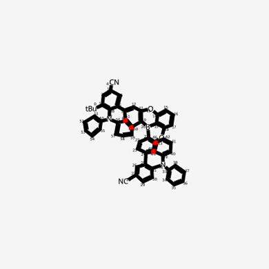 CC(C)(C)c1cc(C#N)cc(-c2ccc3c(c2)Oc2cccc4c2B3c2ccc(-c3cc(C#N)ccc3N(c3ccccc3)c3ccccc3)cc2O4)c1N(c1ccccc1)c1ccccc1